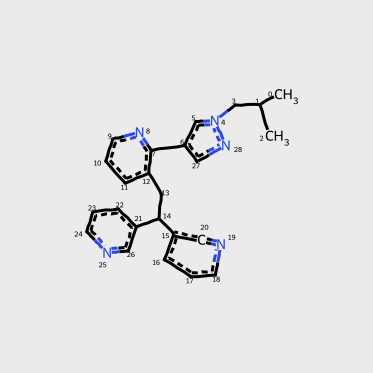 CC(C)Cn1cc(-c2ncccc2CC(c2cccnc2)c2cccnc2)cn1